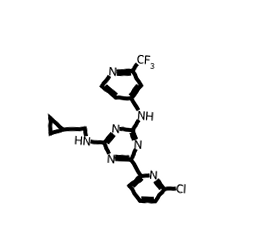 FC(F)(F)c1cc(Nc2nc(NCC3CC3)nc(-c3cccc(Cl)n3)n2)ccn1